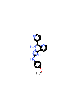 COc1ccc(Nc2nnc(-c3cccnc3C(N)c3cccnc3)[nH]2)cc1